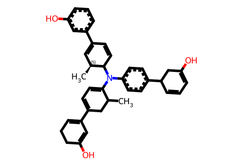 CC1CC(C2=CCCC(O)=C2)=CC=C1N(c1ccc(C2C=CC=C(O)C2)cc1)C1C=CC(c2cccc(O)c2)=C[C@@H]1C